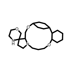 C1CCC2C3CCC(CC3)OCC3N(CCCOC2C1)CCC31COCCN1